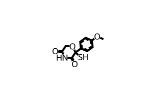 COc1ccc(C2(S)OCC(=O)NC2=O)cc1